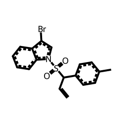 C=CC(c1ccc(C)cc1)S(=O)(=O)n1cc(Br)c2ccccc21